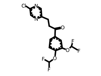 O=C(CCc1cnc(Cl)cn1)c1ccc(OC(F)F)c(OC(F)F)c1